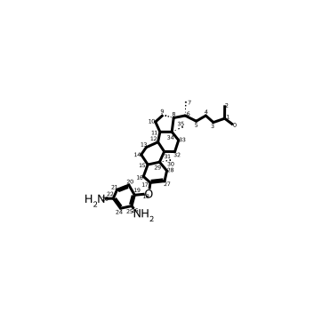 CC(C)CCC[C@@H](C)[C@H]1CCC2C3CCC4CC(Oc5ccc(N)cc5N)=CC[C@]4(C)C3CC[C@@]21C